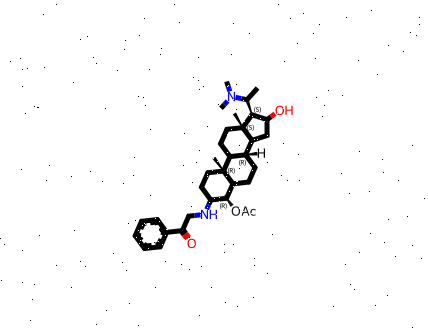 CC(=O)O[C@H]1C(NCC(=O)c2ccccc2)CC[C@]2(C)C3CC[C@@]4(C)C(CC(O)[C@@H]4C(C)N(C)C)[C@@H]3CCC12